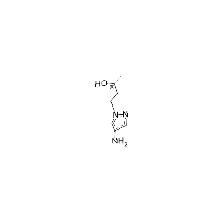 C[C@@H](O)CCn1cc(N)cn1